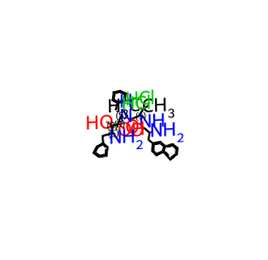 CC(C)[C@H](NC(=O)C(N)Cc1ccc2ccccc2c1)C(=O)N[C@@H](Cc1ccccc1)[C@@H](O)[C@H](O)[C@@H](N)Cc1ccccc1.Cl.Cl